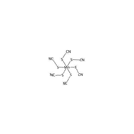 N#C[S][Mn]([S]C#N)([S]C#N)([S]C#N)([S]C#N)[S]C#N